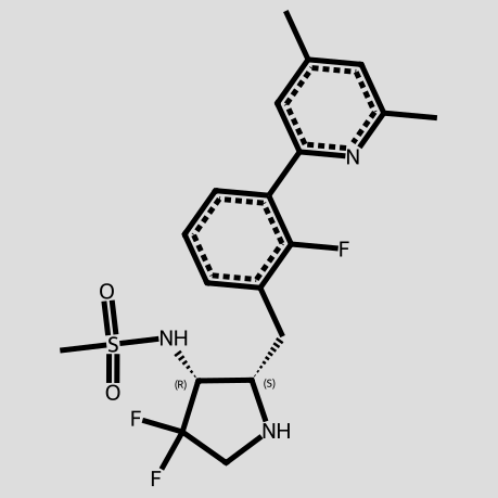 Cc1cc(C)nc(-c2cccc(C[C@@H]3NCC(F)(F)[C@@H]3NS(C)(=O)=O)c2F)c1